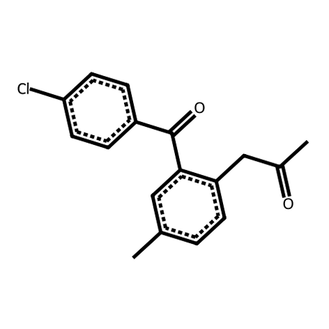 CC(=O)Cc1ccc(C)cc1C(=O)c1ccc(Cl)cc1